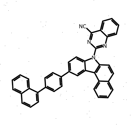 N#Cc1nc(-n2c3ccc(-c4ccc(-c5cccc6ccccc56)cc4)cc3c3c4ccccc4ccc32)nc2ccccc12